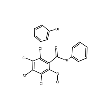 O=C(Nc1ccccc1)c1c(Cl)c(Cl)c(Cl)c(Cl)c1OCl.Oc1ccccc1